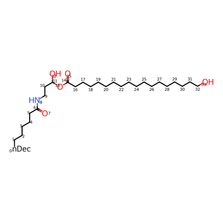 CCCCCCCCCCCCCCCC(=O)NCCC(O)OC(=O)CCCCCCCCCCCCCCCCCO